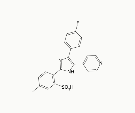 Cc1ccc(-c2nc(-c3ccc(F)cc3)c(-c3ccncc3)[nH]2)c(S(=O)(=O)O)c1